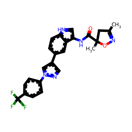 CC1=NOC(C)(C(=O)Nc2c[nH]c3ccc(-c4cnn(-c5ccc(C(F)(F)F)cc5)c4)cc23)C1